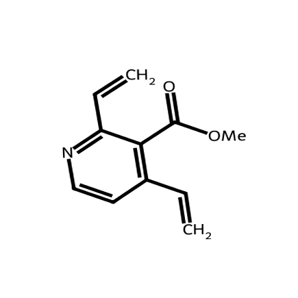 C=Cc1ccnc(C=C)c1C(=O)OC